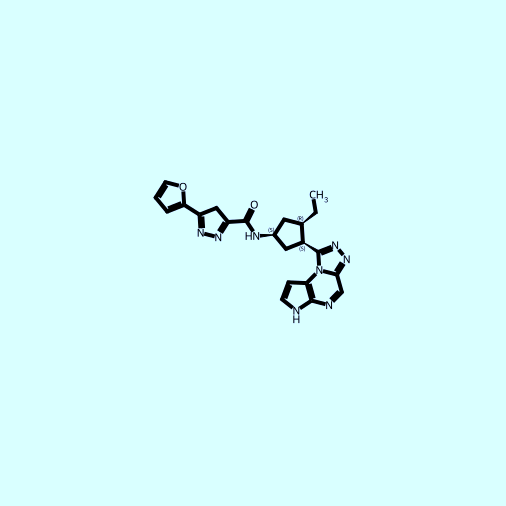 CC[C@@H]1C[C@H](NC(=O)C2=NN=C(c3ccco3)C2)C[C@@H]1c1nnc2cnc3[nH]ccc3n12